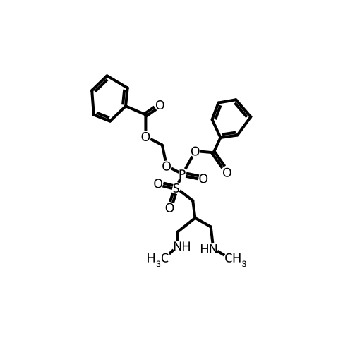 CNCC(CNC)CS(=O)(=O)P(=O)(OCOC(=O)c1ccccc1)OC(=O)c1ccccc1